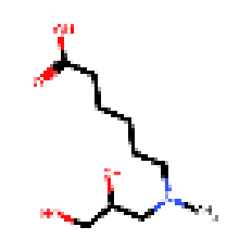 CN(CCCCCC(=O)O)CC(O)CO